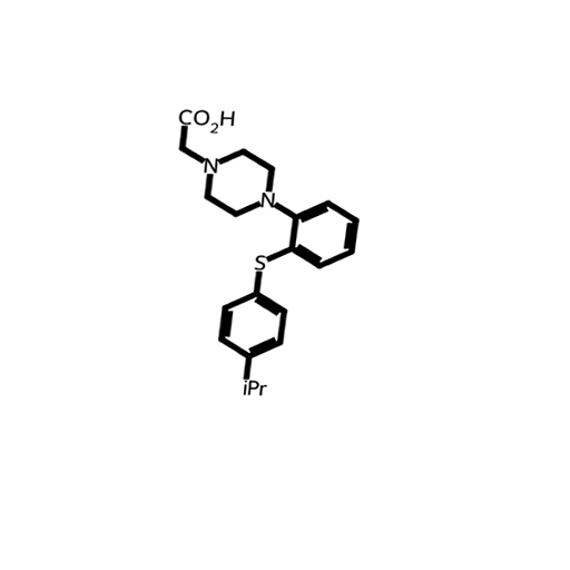 CC(C)c1ccc(Sc2ccccc2N2CCN(CC(=O)O)CC2)cc1